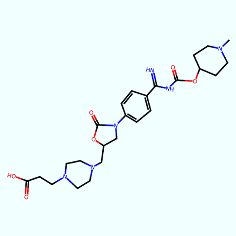 CN1CCC(OC(=O)NC(=N)c2ccc(N3CC(CN4CCN(CCC(=O)O)CC4)OC3=O)cc2)CC1